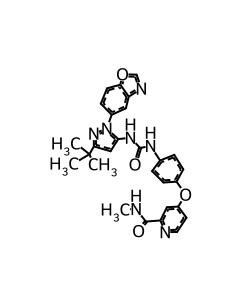 CNC(=O)c1cc(Oc2ccc(NC(=O)Nc3cc(C(C)(C)C)nn3-c3ccc4ocnc4c3)cc2)ccn1